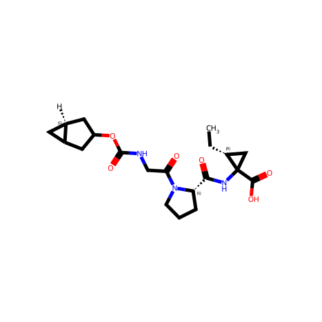 CC[C@@H]1CC1(NC(=O)[C@@H]1CCCN1C(=O)CNC(=O)OC1CC2C[C@H]2C1)C(=O)O